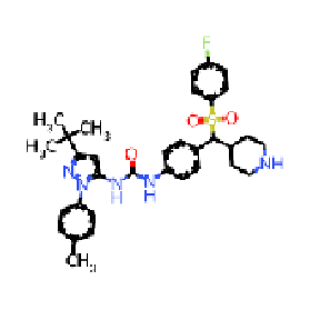 Cc1ccc(-n2nc(C(C)(C)C)cc2NC(=O)Nc2ccc(C(C3CCNCC3)S(=O)(=O)c3ccc(F)cc3)cc2)cc1